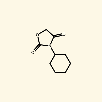 O=C1COC(=O)N1C1CCCCC1